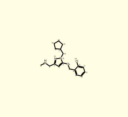 CNCc1cc(OCc2ccccc2Cl)n(CC2CCCC2)n1